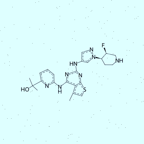 Cc1csc2nc(Nc3cnn([C@@H]4CCNC[C@@H]4F)c3)nc(Nc3cccc(C(C)(C)O)n3)c12